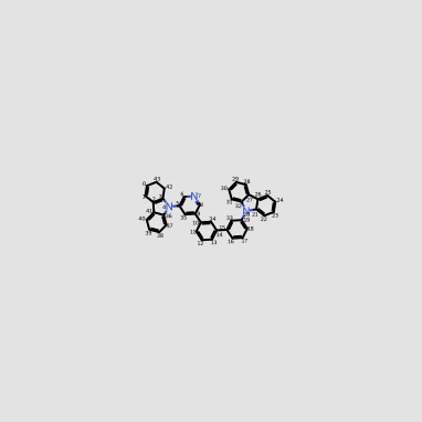 C1=Cc2c(n(-c3cncc(-c4cccc(-c5cccc(-n6c7ccccc7c7ccccc76)c5)c4)c3)c3ccccc23)CC1